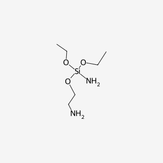 CCO[Si](N)(OCC)OCCN